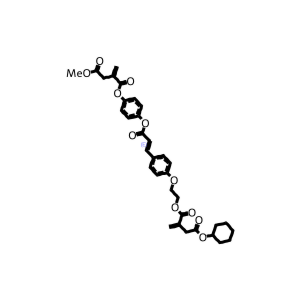 C=C(CC(=O)OC1CCCCC1)C(=O)OCCOc1ccc(/C=C/C(=O)Oc2ccc(OC(=O)C(=C)CC(=O)OC)cc2)cc1